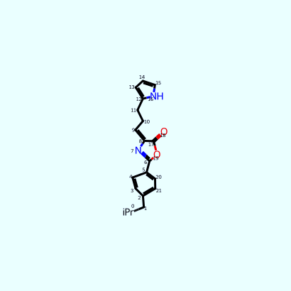 CC(C)Cc1ccc(C2=N/C(=C/CCc3ccc[nH]3)C(=O)O2)cc1